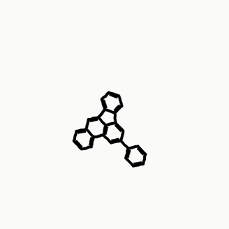 c1ccc(-c2cc3c4c(cc5ccccc5c4c2)-c2ccccc2-3)cc1